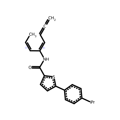 C=C=C/C=C(\C=C/C)NC(=O)c1ccc(-c2ccc(C(C)C)cc2)s1